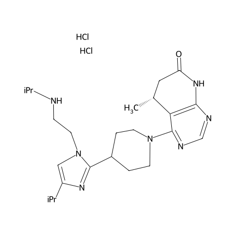 CC(C)NCCn1cc(C(C)C)nc1C1CCN(c2ncnc3c2[C@H](C)CC(=O)N3)CC1.Cl.Cl